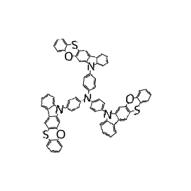 c1ccc2c(c1)Oc1cc3c(cc1S2)c1ccccc1n3-c1ccc(N(c2ccc(-n3c4ccccc4c4cc5c(cc43)Oc3ccccc3S5)cc2)c2ccc(-n3c4ccccc4c4cc5c(cc43)Oc3ccccc3S5)cc2)cc1